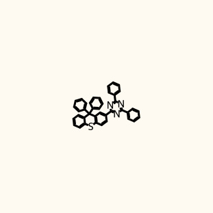 c1ccc(-c2nc(-c3ccccc3)nc(-c3ccc4c(c3)C(c3ccccc3)(c3ccccc3)c3ccccc3S4)n2)cc1